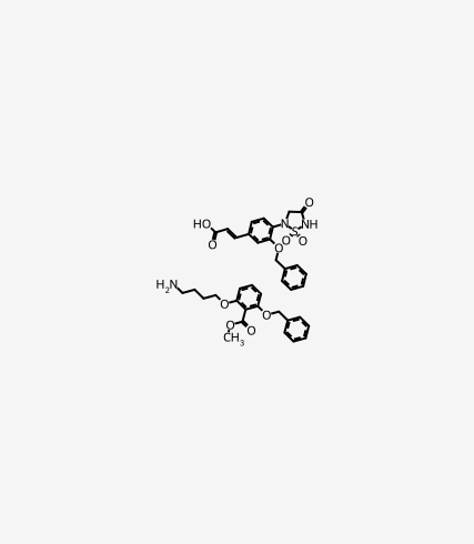 COC(=O)c1c(OCCCCN)cccc1OCc1ccccc1.O=C(O)C=Cc1ccc(N2CC(=O)NS2(=O)=O)c(OCc2ccccc2)c1